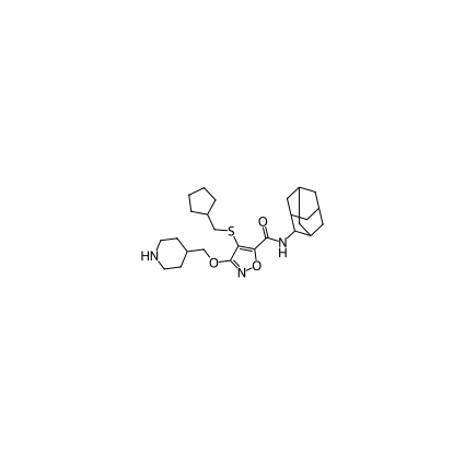 O=C(NC1C2CC3CC(C2)CC1C3)c1onc(OCC2CCNCC2)c1SCC1CCCC1